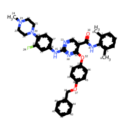 Cc1cccc(C)c1NC(=O)c1cnc(Nc2ccc(N3CCN(C)CC3)c(F)c2)nc1Oc1ccc(OCc2ccccc2)cc1